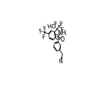 N#CCc1cccc(S(=O)(=O)NC(O)(c2cccc(C(F)(F)F)c2)C(F)(F)F)c1